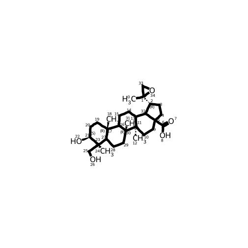 CC1([C@@H]2CCC3(C(=O)O)CC[C@]4(C)C(CCC5[C@@]6(C)CC[C@H](O)[C@@](C)(CO)C6CC[C@]54C)C23)CO1